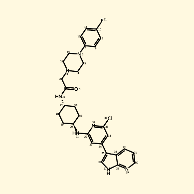 O=C(CN1CCN(c2ccc(F)cc2)CC1)N[C@H]1CC[C@H](Nc2cc(-c3c[nH]c4ncccc34)cc(Cl)n2)CC1